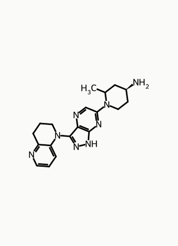 CC1C[C@@H](N)CCN1c1cnc2c(N3CCCc4ncccc43)n[nH]c2n1